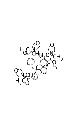 Cc1ccc2c(c1)C(Cc1ccc(C(=O)C(C)(C)N3CCOCC3)cc1)(Cc1ccc(C(=O)C(C)(C)N3CCOCC3)cc1)c1cc(C(=O)C(C)(C)N3CCOCC3)ccc1-2